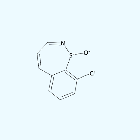 [O-][S+]1N=CC=Cc2cccc(Cl)c21